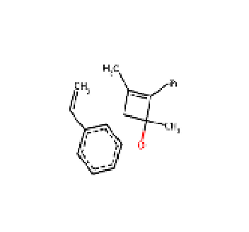 C=Cc1ccccc1.CC1=C(C(C)C)C(C)([O])C1